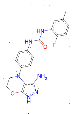 Cc1ccc(F)c(NC(=O)Nc2ccc(N3CCOc4[nH]nc(N)c43)cc2)c1